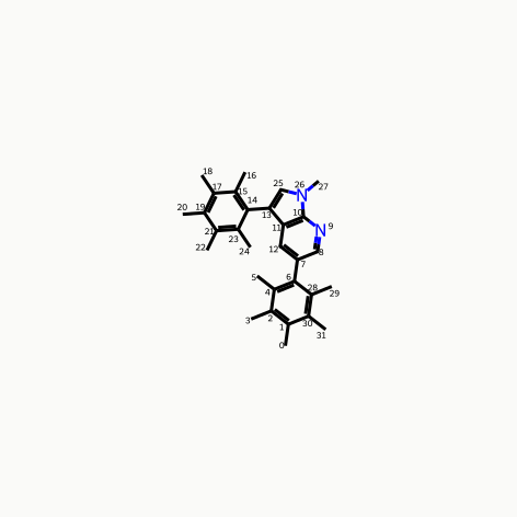 Cc1c(C)c(C)c(-c2cnc3c(c2)c(-c2c(C)c(C)c(C)c(C)c2C)cn3C)c(C)c1C